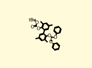 Cc1cc(C)c(OC(=O)OC(C)(C)C)c(-c2cc(C)cc(C)c2OP(Oc2ccccc2)Oc2ccccc2)c1